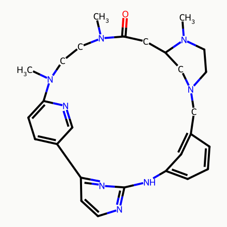 CN1CCN(C)c2ccc(cn2)-c2ccnc(n2)Nc2cccc(c2)CN2CCN(C)C(CC1=O)C2